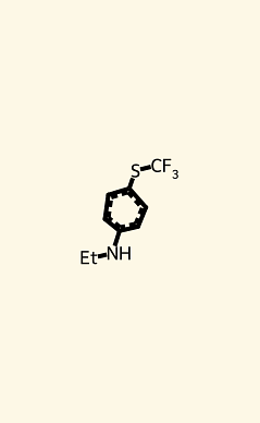 CCNc1ccc(SC(F)(F)F)cc1